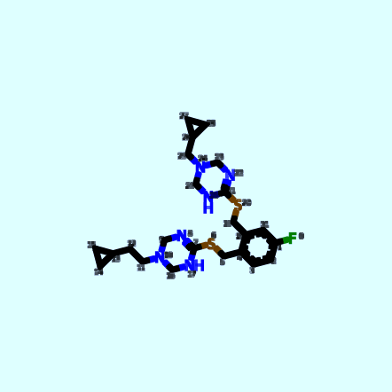 Fc1ccc(CSC2=NCN(CCC3CC3)CN2)c(CSC2=NCN(CC3CC3)CN2)c1